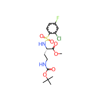 COC(=O)[C@H](CCNC(=O)OC(C)(C)C)NS(=O)(=O)c1ccc(F)cc1Cl